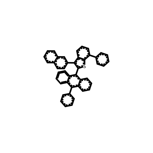 C1=C=c2c(-c3sc4c(-c5ccccc5)cccc4c3-c3ccc4ccccc4c3)c3ccccc3c(-c3ccccc3)c2=CC=1